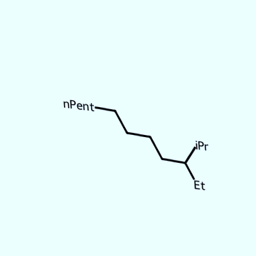 [CH2]CC(CCCCCCCCC)C(C)C